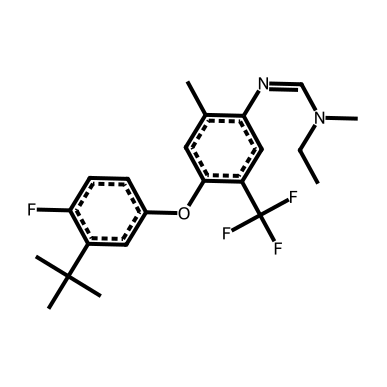 CCN(C)/C=N\c1cc(C(F)(F)F)c(Oc2ccc(F)c(C(C)(C)C)c2)cc1C